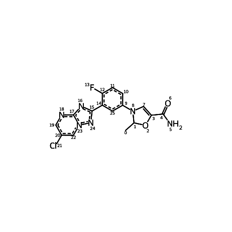 CC1OC(C(N)=O)=CN1c1ccc(F)c(-c2nc3ncc(Cl)cn3n2)c1